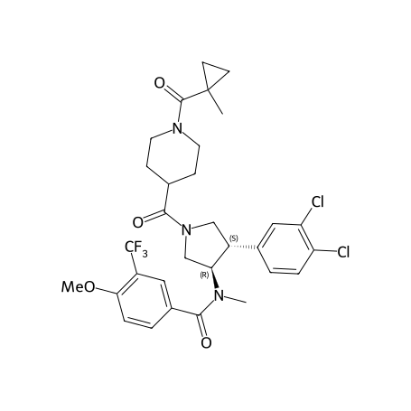 COc1ccc(C(=O)N(C)[C@H]2CN(C(=O)C3CCN(C(=O)C4(C)CC4)CC3)C[C@@H]2c2ccc(Cl)c(Cl)c2)cc1C(F)(F)F